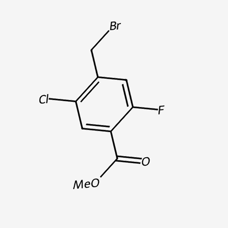 COC(=O)c1cc(Cl)c(CBr)cc1F